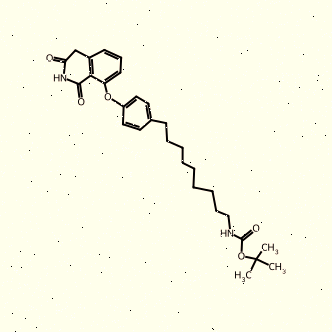 CC(C)(C)OC(=O)NCCCCCCCCCc1ccc(Oc2cccc3c2C(=O)NC(=O)C3)cc1